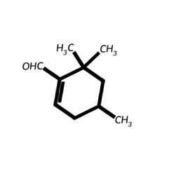 CC1CC=C(C=O)C(C)(C)C1